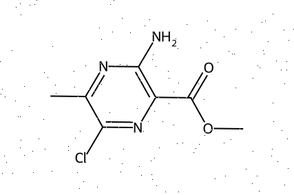 COC(=O)c1nc(Cl)c(C)nc1N